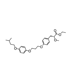 CCOC(=O)[C@H](Cc1ccc(OCCCOc2ccc(OCCC(C)C)cc2)cc1)OC